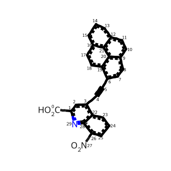 O=C(O)c1cc(C#Cc2ccc3ccc4cccc5ccc2c3c45)c2cccc([N+](=O)[O-])c2n1